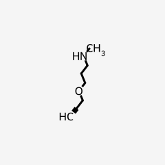 C#CCOCCCNC